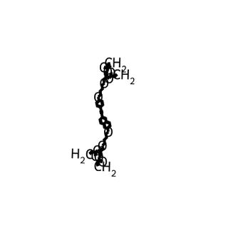 C=CC(=O)OCC(COCCCCOc1ccc(C#Cc2ccc3cc(OCCCCOCC(COC(=O)C=C)OC(=O)C=C)ccc3c2)cc1)OC(=O)C=C